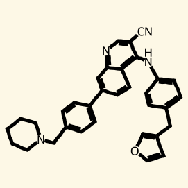 N#Cc1cnc2cc(-c3ccc(CN4CCCCC4)cc3)ccc2c1Nc1ccc(Cc2ccoc2)cc1